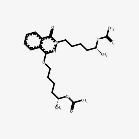 CC(=O)O[C@H](C)CCCCOc1nn(CCCC[C@@H](C)OC(C)=O)c(=O)c2ccccc12